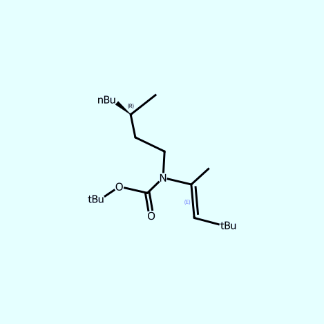 CCCC[C@@H](C)CCN(C(=O)OC(C)(C)C)/C(C)=C/C(C)(C)C